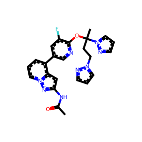 CC(=O)Nc1cc2c(-c3cnc(OC(C)(CCn4cccn4)n4cccn4)c(F)c3)cccn2n1